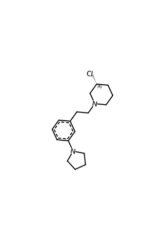 Cl[C@@H]1CCCN(CCc2cccc(N3CCCC3)c2)C1